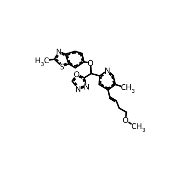 COCC/C=C/c1cc(C(Oc2ccc3nc(C)sc3c2)c2nnco2)ncc1C